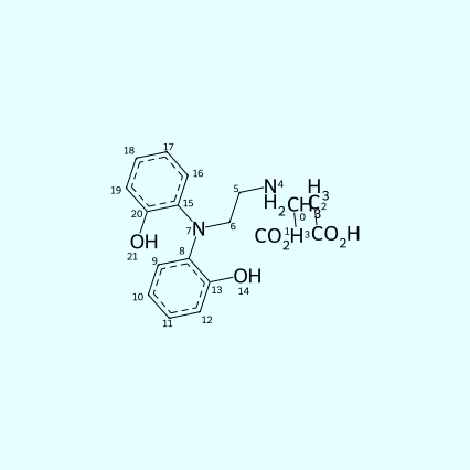 CC(=O)O.CC(=O)O.NCCN(c1ccccc1O)c1ccccc1O